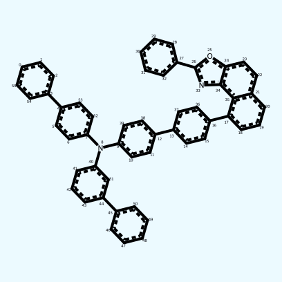 c1ccc(-c2ccc(N(c3ccc(-c4ccc(-c5cccc6ccc7oc(-c8ccccc8)nc7c56)cc4)cc3)c3cccc(-c4ccccc4)c3)cc2)cc1